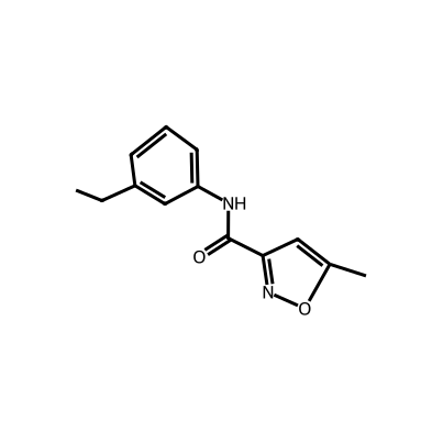 CCc1cccc(NC(=O)c2cc(C)on2)c1